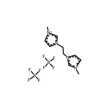 C[n+]1ccn(CCn2cc[n+](C)c2)c1.F[B-](F)(F)F.F[B-](F)(F)F